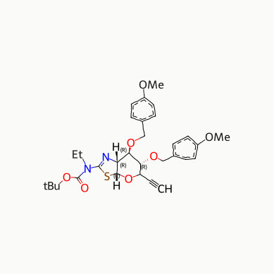 C#CC1O[C@@H]2SC(N(CC)C(=O)OC(C)(C)C)=N[C@@H]2[C@@H](OCc2ccc(OC)cc2)[C@@H]1OCc1ccc(OC)cc1